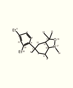 CCc1ccc(C2(C)CC(C)C3C(C2)C(C)(C)ON3C)c(CC)c1